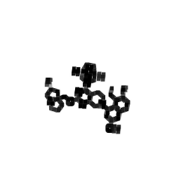 CCc1c(F)ccc2cc(O)cc(N3CCc4c(nc(OC[C@@]56CCCN5C[C@H](F)C6)nc4N4C[C@H]5CC[C@@H](C4)N5)C3)c12